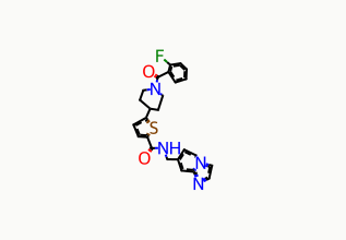 O=C(NCc1ccn2ccnc2c1)c1ccc(C2CCN(C(=O)c3ccccc3F)CC2)s1